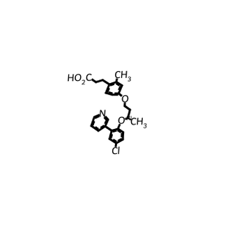 Cc1cc(OCC[C@@H](C)Oc2ccc(Cl)cc2-c2cccnc2)ccc1CCC(=O)O